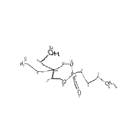 CCCCP1(=O)OCC(CC)(CO)CO1